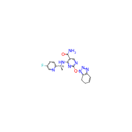 C[C@H](Nc1nc(On2nnc3c2CCC=C3)ncc1C(N)=O)c1ccc(F)cn1